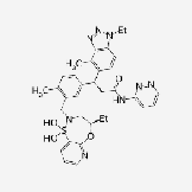 CC[C@@H]1CN(Cc2cc([C@H](CC(=O)Nc3cccnn3)c3ccc4c(nnn4CC)c3C)ccc2C)S(O)(O)c2cccnc2O1